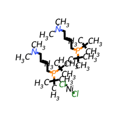 CN(C)CC=CCP(C(C)(C)C)C(C)(C)C.CN(C)CC=CCP(C(C)(C)C)C(C)(C)C.[Cl][Ni][Cl]